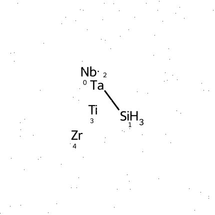 [Nb].[SiH3][Ta].[Ti].[Zr]